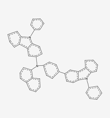 c1ccc(-n2c3ccccc3c3cc(-c4ccc(N(c5ccc6c(c5)c5ccccc5n6-c5ccccc5)c5cccc6ccccc56)cc4)ccc32)cc1